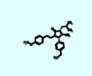 CCc1ccc([C@@H]2N(CCc3ccc(OC)cc3)C(=O)[C@H](CC(C)C)N2C)cc1